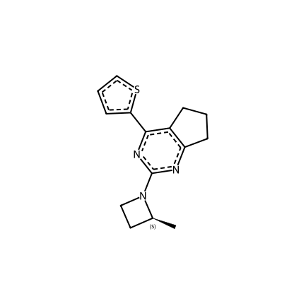 C[C@H]1CCN1c1nc2c(c(-c3cccs3)n1)CCC2